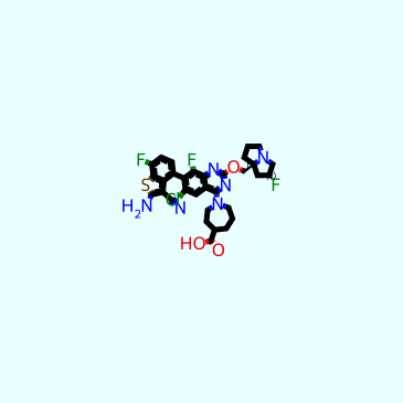 N#Cc1c(N)sc2c(F)ccc(-c3c(Cl)cc4c(N5CCCC(C(=O)O)CC5)nc(OC[C@@]56CCCN5C[C@H](F)C6)nc4c3F)c12